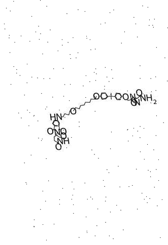 CC(C)(c1ccc(OCCCCCCCCOCCCCNc2ccc3c(c2)C(=O)N(C2CCC(=O)NC2=O)C3=O)cc1)c1ccc(OCc2nc(C(N)=O)no2)cc1